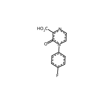 O=C(O)c1nccn(-c2ccc(F)cc2)c1=O